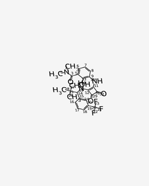 CN(C)C(=O)c1cccc(Nc2c(NC(c3cccc(C(F)(F)F)c3)C(C)(C)C)c(=O)c2=O)c1O